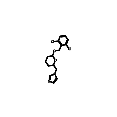 Clc1cccc(Cl)c1COC1CCCC(Cn2ccnc2)O1